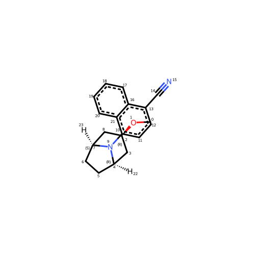 CO[C@H]1C[C@H]2CC[C@@H](C1)N2c1ccc(C#N)c2ccccc12